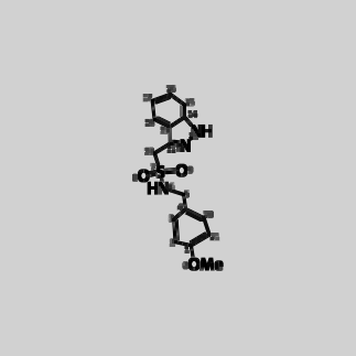 COc1ccc(CNS(=O)(=O)Cc2n[nH]c3ccccc23)cc1